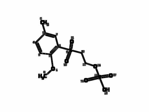 COc1ccc(C)cc1S(=O)(=O)CCOS(=O)(=O)O